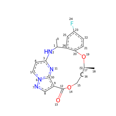 CC1Nc2ccn3ncc(c3n2)C(=O)OCC[C@H](C)Oc2ccc(F)cc21